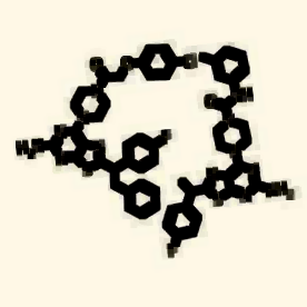 Cc1cccc(NC(=O)N2CCN(c3nc(N)nc4sc(C(C)c5ccc(F)cc5)nc34)CC2)c1.Nc1nc(N2CCN(C(=O)COc3ccc(Cl)cc3)CC2)c2nc(C(Cc3ccccc3)c3ccc(F)cc3)sc2n1